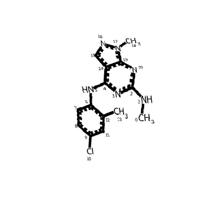 CNc1nc(Nc2ccc(Cl)cc2C)c2cnn(C)c2n1